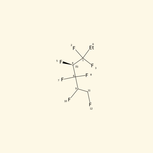 [CH2]CC(F)(F)[C@H](F)C(F)(F)C(F)CF